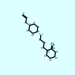 C=CC[C@H]1CC[C@H](CCCCC2CCCCC2=O)CC1